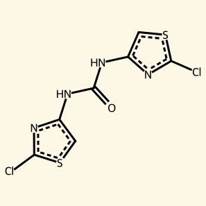 O=C(Nc1csc(Cl)n1)Nc1csc(Cl)n1